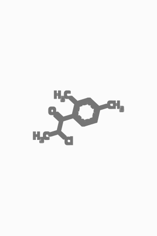 Cc1ccc(C(=O)C(C)Cl)c(C)c1